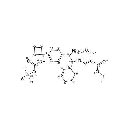 CCOC(=O)C1=CN2C(=NC(c3ccc(C4(NC(=O)OC(C)(C)C)CCC4)cc3)C2C2C=CC=CC2)C=C1